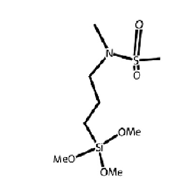 CO[Si](CCCN(C)S(C)(=O)=O)(OC)OC